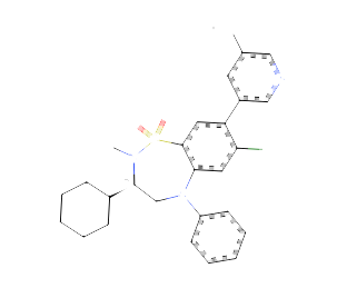 CN1[C@H](C2CCCCC2)CN(c2ccccc2)c2cc(Cl)c(-c3cncc(C(=O)O)c3)cc2S1(=O)=O